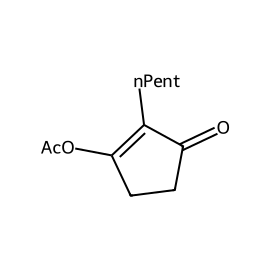 CCCCCC1=C(OC(C)=O)CCC1=O